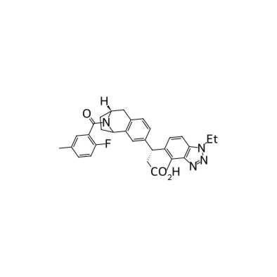 CCn1nnc2c(C)c([C@H](CC(=O)O)c3ccc4c(c3)C3CC[C@H](C4)N3C(=O)c3cc(C)ccc3F)ccc21